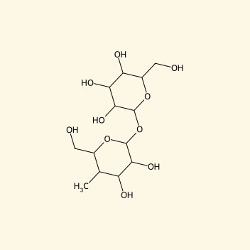 CC1C(CO)OC(OC2OC(CO)C(O)C(O)C2O)C(O)C1O